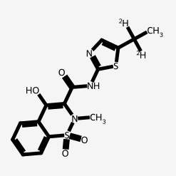 [2H]C([2H])(C)c1cnc(NC(=O)C2=C(O)c3ccccc3S(=O)(=O)N2C)s1